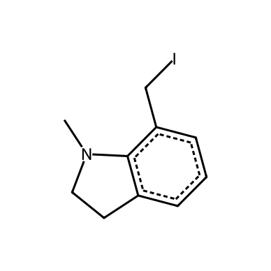 CN1CCc2cccc(CI)c21